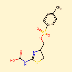 Cc1ccc(S(=O)(=O)OCC2CSC(NC(=O)O)=N2)cc1